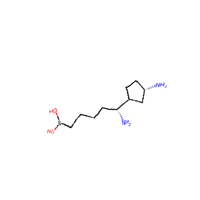 N[C@H]1CCC([C@H](N)CCCCB(O)O)C1